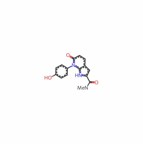 CNC(=O)c1cc2ccc(=O)n(-c3ccc(O)cc3)c2[nH]1